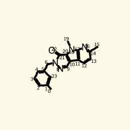 Cc1cccc(Cn2ncc3c4ccc(C)nc4n(C)c3c2=O)c1